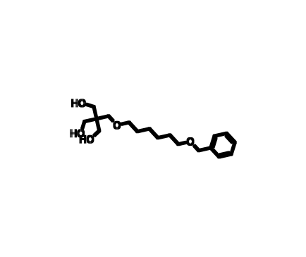 OCC(CO)(CO)COCCCCCCOCc1ccccc1